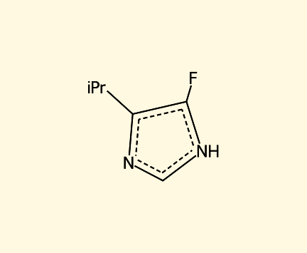 CC(C)c1nc[nH]c1F